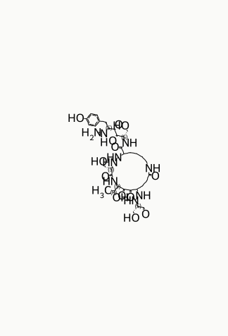 C[C@@H](O)[C@@H]1NC(=O)[C@H](CO)NNC(C(=O)N[C@@H](CO)C(=O)C(=O)[C@H](Cc2ccc(O)cc2)NN)CCCCNC(=O)CCC(NN[C@H](C=O)CO)C(=O)C1=O